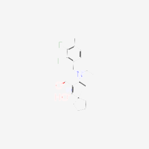 C=C(/C(C=O)=C(/O)C1(C)CCCC1)N(CC)Cc1ccc(C)c(F)c1F